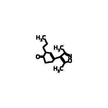 CCCC1C=C(c2c(C)noc2C)CCC1=O